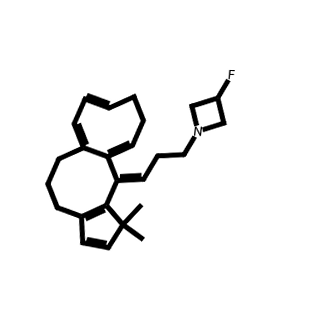 CC1(C)C=CC2=C1C(=C/CCN1CC(F)C1)/C1=C/CC/C=C/C=C\1CCC2